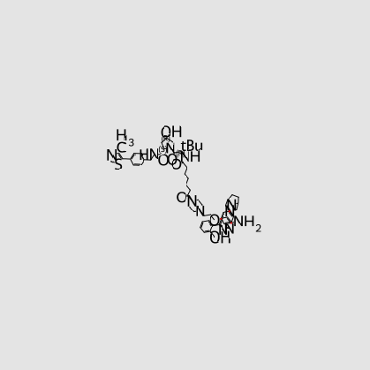 Cc1ncsc1-c1ccc(CNC(=O)[C@@H]2C[C@@H](O)CN2C(=O)[C@H](NC(=O)CCCCCC(=O)N2CCN(CCOc3cccc(N4C5CCC4CN(c4cc(-c6ccccc6O)nnc4N)C5)c3)CC2)C(C)(C)C)cc1